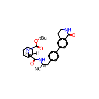 CC(C)(C)OC(=O)N1C2CCC(CC2)[C@H]1C(=O)N[C@H](C#N)Cc1ccc(-c2ccc3c(c2)CCNC3=O)cc1